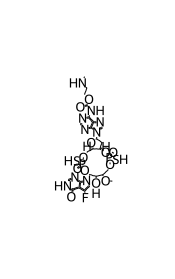 CNCCOC(=O)Nc1ncnc2c1ncn2[C@H]1C[C@@H]2O[P@](=O)(S)OC[C@@H](OC)[C@@H](O)[C@H](n3cc(F)c4c(=O)[nH]cnc43)O[P@](=O)(S)OC[C@H]2O1